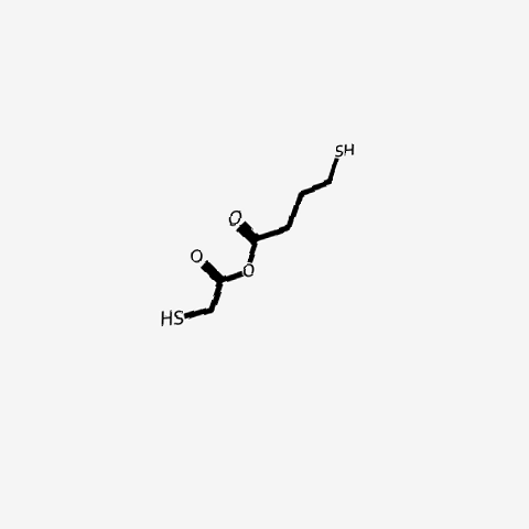 O=C(CS)OC(=O)CCCS